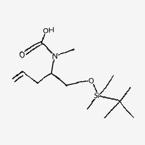 C=CCC(CO[Si](C)(C)C(C)(C)C)N(C)C(=O)O